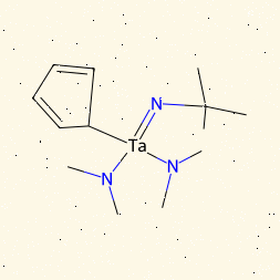 C[N](C)[Ta](=[N]C(C)(C)C)([CH]1C=CC=C1)[N](C)C